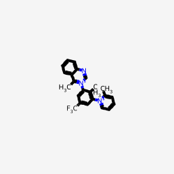 Cc1c(-[n+]2ccccc2C)cc(C(F)(F)F)cc1-[n+]1cnc2ccccc2c1C